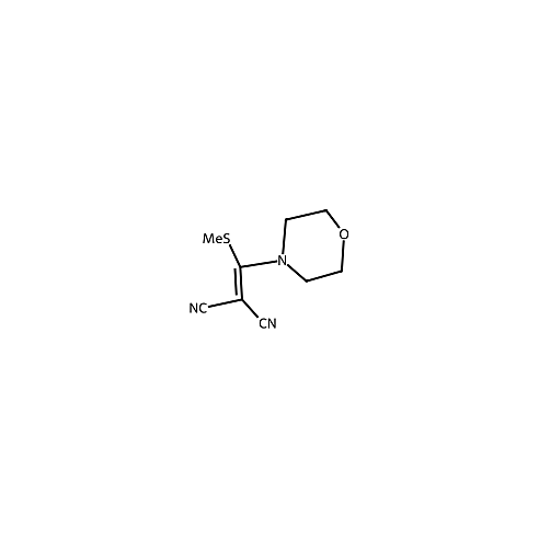 CSC(=C(C#N)C#N)N1CCOCC1